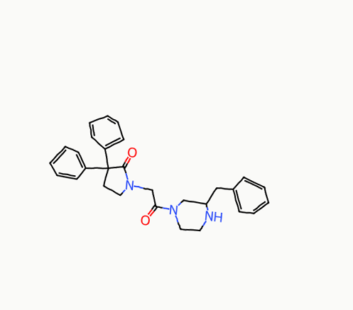 O=C(CN1CCC(c2ccccc2)(c2ccccc2)C1=O)N1CCNC(Cc2ccccc2)C1